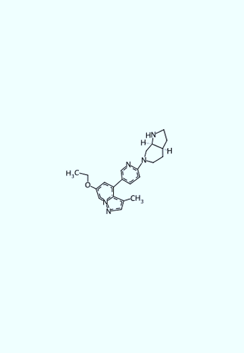 CCOc1cc(-c2ccc(N3CC[C@@H]4CCN[C@@H]4C3)nc2)c2c(C)cnn2c1